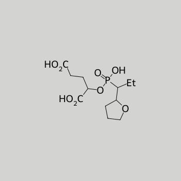 CCC(C1CCCO1)P(=O)(O)OC(CCC(=O)O)C(=O)O